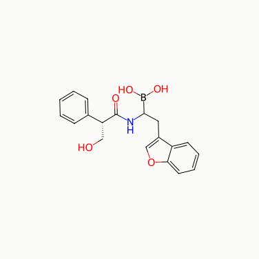 O=C(NC(Cc1coc2ccccc12)B(O)O)[C@H](CO)c1ccccc1